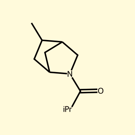 CC(C)C(=O)N1CC2CC1CC2C